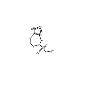 CC(C)CS(=O)(=O)N1CCCc2[nH]n[c]c2C1